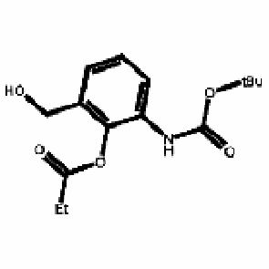 CCC(=O)Oc1c(CO)cccc1NC(=O)OC(C)(C)C